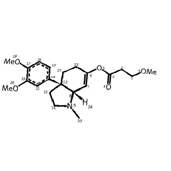 COCCC(=O)OC1=C[C@@H]2N(C)CC[C@]2(c2ccc(OC)c(OC)c2)CC1